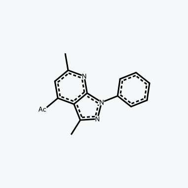 CC(=O)c1cc(C)nc2c1c(C)nn2-c1ccccc1